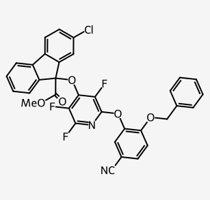 COC(=O)C1(Oc2c(F)c(F)nc(Oc3cc(C#N)ccc3OCc3ccccc3)c2F)c2ccccc2-c2ccc(Cl)cc21